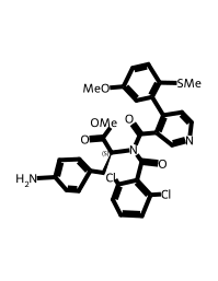 COC(=O)[C@H](Cc1ccc(N)cc1)N(C(=O)c1cnccc1-c1cc(OC)ccc1SC)C(=O)c1c(Cl)cccc1Cl